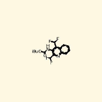 CC(C)COC(=O)Nc1c(C(F)F)nc2ccccc2c1C(F)F